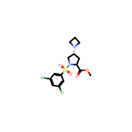 COC(=O)C1C[C@@H](N2CCC2)CN1S(=O)(=O)c1cc(Cl)cc(Cl)c1